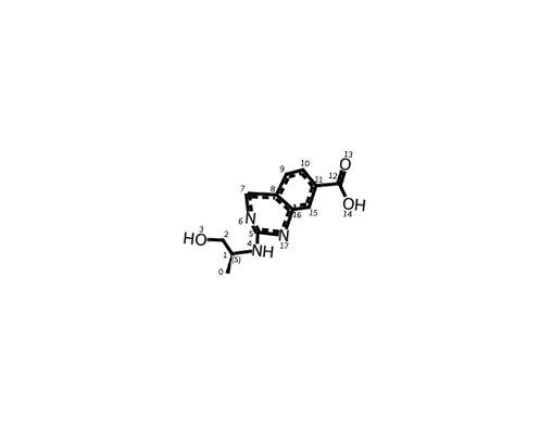 C[C@@H](CO)Nc1ncc2ccc(C(=O)O)cc2n1